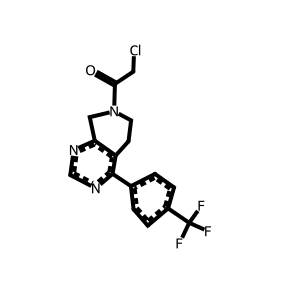 O=C(CCl)N1CCc2c(ncnc2-c2ccc(C(F)(F)F)cc2)C1